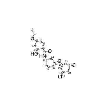 CCOc1ccc(C(=O)Nc2cccc(Oc3cc(Cl)cc(Cl)c3)c2)c(O)c1